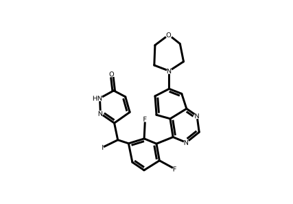 O=c1ccc(C(I)c2ccc(F)c(-c3ncnc4cc(N5CCOCC5)ccc34)c2F)n[nH]1